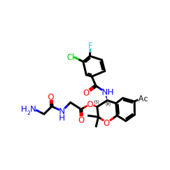 CC(=O)c1ccc2c(c1)[C@@H](NC(=O)c1ccc(F)c(Cl)c1)[C@H](OC(=O)CNC(=O)CN)C(C)(C)O2